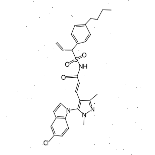 C=CC(c1ccc(CCCC)cc1)S(=O)(=O)NC(=O)/C=C/c1c(C)nn(C)c1-n1ccc2cc(Cl)ccc21